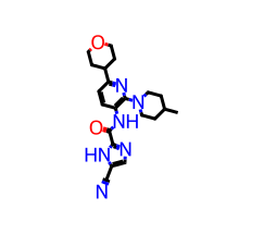 CC1CCN(c2nc(C3CCOCC3)ccc2NC(=O)c2ncc(C#N)[nH]2)CC1